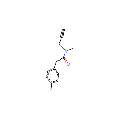 C#CCN(C)C(=O)Cc1ccc(C)cc1